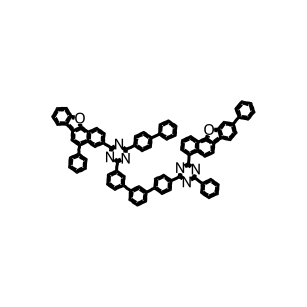 c1ccc(-c2ccc(-c3nc(-c4cccc(-c5cccc(-c6ccc(-c7nc(-c8ccccc8)nc(-c8cccc9c8ccc8c%10ccc(-c%11ccccc%11)cc%10oc98)n7)cc6)c5)c4)nc(-c4ccc5c(c4)c(-c4ccccc4)cc4c6ccccc6oc54)n3)cc2)cc1